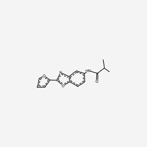 CC(C)C(=O)Nc1ccc2oc(-c3ccco3)nc2c1